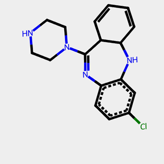 Clc1ccc2c(c1)NC1C=CC=CC1C(N1CCNCC1)=N2